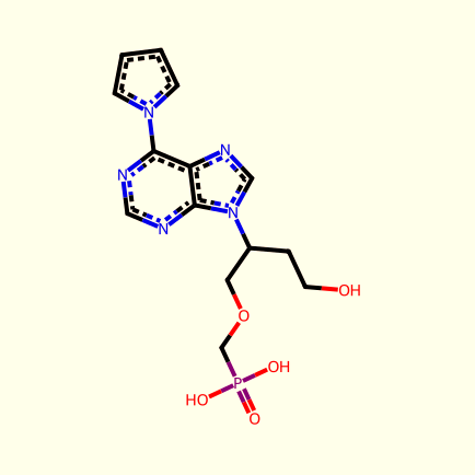 O=P(O)(O)COCC(CCO)n1cnc2c(-n3cccc3)ncnc21